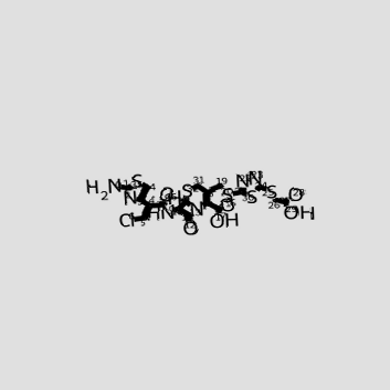 Nc1nc(C(=CCl)C(=O)NC2C(=O)N3C(C(=O)O)=C(CSc4nnc(SCC(=O)O)s4)CS[C@@H]23)cs1